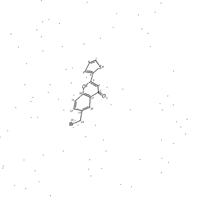 O=c1cc(-c2cccs2)oc2ccc(CBr)cc12